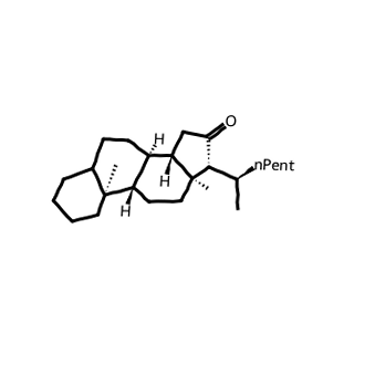 CCCCC[C@@H](C)[C@H]1C(=O)C[C@H]2[C@@H]3CCC4CCCC[C@]4(C)[C@H]3CC[C@]12C